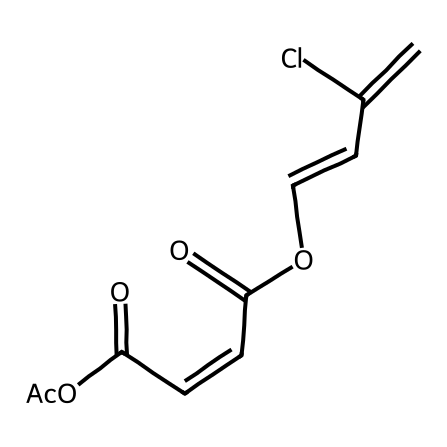 C=C(Cl)C=COC(=O)/C=C\C(=O)OC(C)=O